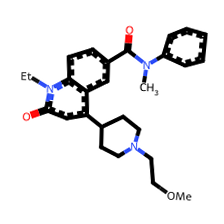 CCn1c(=O)cc(C2CCN(CCOC)CC2)c2cc(C(=O)N(C)c3ccccc3)ccc21